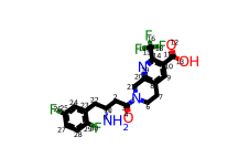 N[C@@H](CC(=O)N1CCc2cc(C(=O)O)c(C(F)(F)F)nc2C1)Cc1cc(F)ccc1F